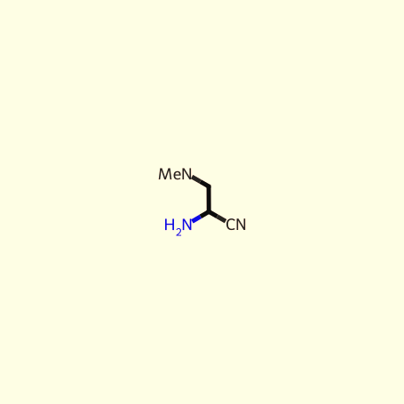 CNCC(N)C#N